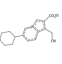 CCOC(=O)c1cn2cc(C3CCOCC3)ccc2c1CC#N